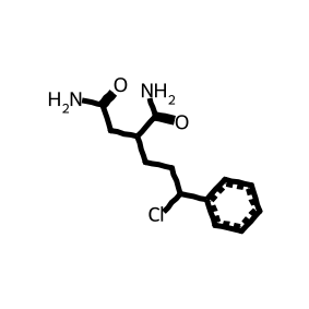 NC(=O)CC(CCC(Cl)c1ccccc1)C(N)=O